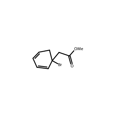 COC(=O)CC1(Br)C=CC=CC1